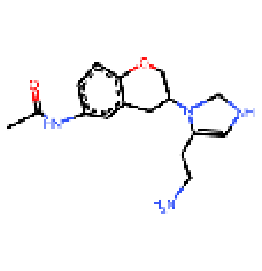 CC(=O)Nc1ccc2c(c1)CC(N1CNC=C1CCN)CO2